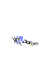 C=C(c1ccnc(C)c1)c1n[nH]c2nc(N3CCC4(CC3)Cc3nc(OC)sc3C4)n3cnnc3c12